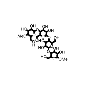 COC1OC(CO)C(OC2OC(CO)C(OC3OC(CO)C(OC4OC(CO)C(OC)C(O)C4O)C(O)C3O)C(O)C2O)C(O)C1O